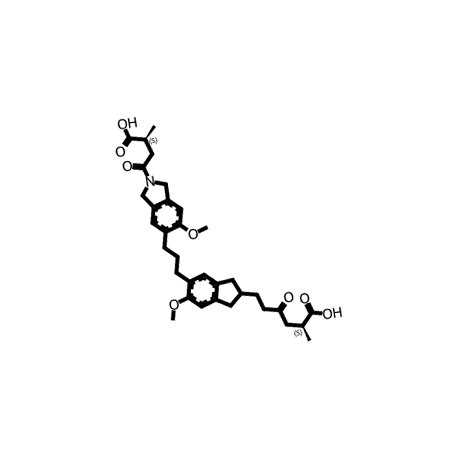 COc1cc2c(cc1CCCc1cc3c(cc1OC)CN(C(=O)C[C@H](C)C(=O)O)C3)CC(CCC(=O)C[C@H](C)C(=O)O)C2